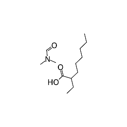 CCCCCCC(CC)C(=O)O.CN(C)C=O